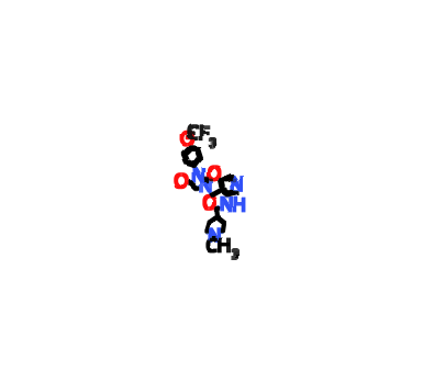 CN1CCC(C(=O)Nc2cnccc2CN2CC(=O)N(c3ccc(OC(F)(F)F)cc3)C2=O)CC1